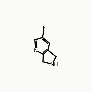 Fc1cnc2c(c1)CNC2